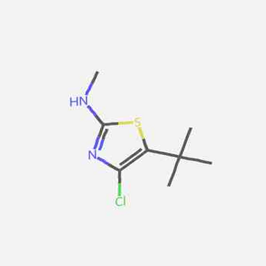 CNc1nc(Cl)c(C(C)(C)C)s1